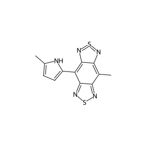 Cc1ccc(-c2c3c(c(C)c4nsnc24)N=S=N3)[nH]1